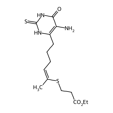 CCOC(=O)CCS/C(C)=C\CCCc1[nH]c(=S)[nH]c(=O)c1N